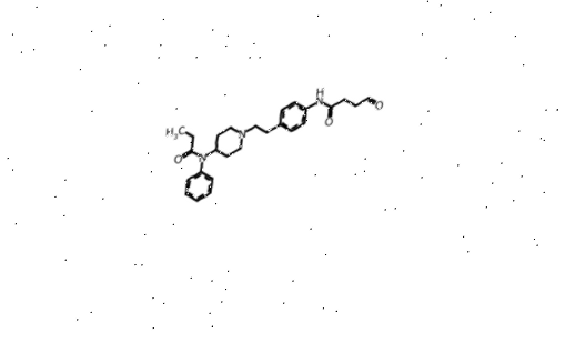 CCC(=O)N(c1ccccc1)C1CCN(CCc2ccc(NC(=O)CCC=O)cc2)CC1